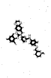 Cc1cc(C)c(OC(=O)N(Cc2ccc3c(c2)OCCO3)c2ccnc(Nc3ccc(OCC4CCCN(C)C4)c(F)c3)n2)c(C)c1